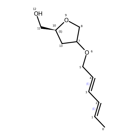 C/C=C/C=C/COC1CO[C@H](CO)C1